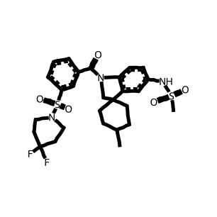 CC1CCC2(CC1)CN(C(=O)c1cccc(S(=O)(=O)N3CCC(F)(F)CC3)c1)c1ccc(NS(C)(=O)=O)cc12